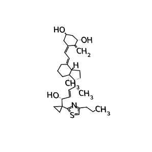 C=C1/C(=C\C=C2/CCC[C@]3(C)[C@@H]([C@H](C)/C=C/[C@@H](O)C4(c5nc(CCC)cs5)CC4)CC[C@@H]23)C[C@@H](O)C[C@@H]1O